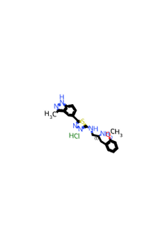 COc1ccccc1C[C@H](N)CNc1nnc(-c2ccc3[nH]nc(C)c3c2)s1.Cl